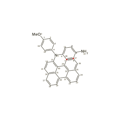 COc1ccc(N(c2ccc(N)cc2)c2ccc3cccc4c5cccc6cccc(c2c34)c65)cc1